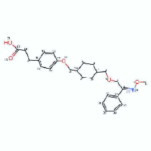 CO/N=C(\COCC1CCC(COc2ccc(CCC(=O)O)cc2)CC1)c1ccccc1